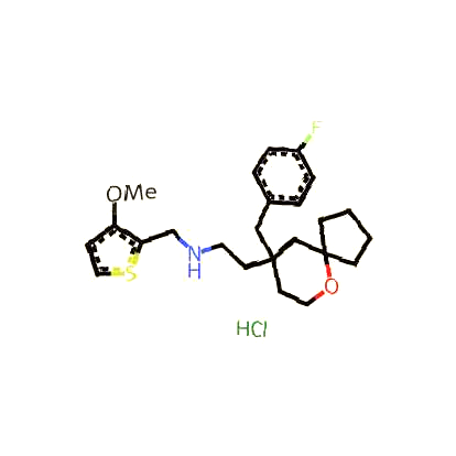 COc1ccsc1CNCCC1(Cc2ccc(F)cc2)CCOC2(CCCC2)C1.Cl